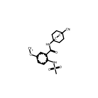 CS(=O)(=O)Nc1ccc(OC(F)(F)F)cc1C(=O)NC12CCC(C#N)(CC1)CC2